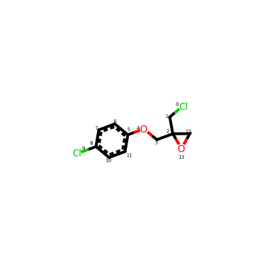 ClCC1(COc2ccc(Cl)cc2)CO1